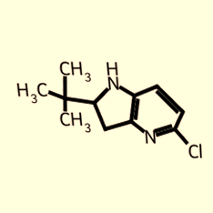 CC(C)(C)C1Cc2nc(Cl)ccc2N1